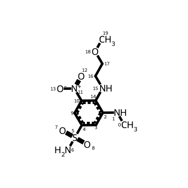 CNc1cc(S(N)(=O)=O)cc([N+](=O)[O-])c1NCCOC